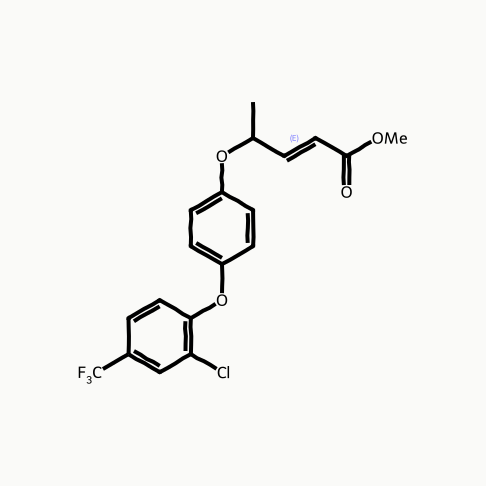 COC(=O)/C=C/C(C)Oc1ccc(Oc2ccc(C(F)(F)F)cc2Cl)cc1